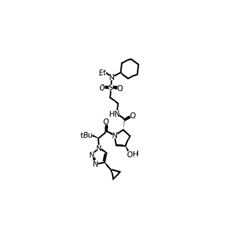 CCN(C1CCCCC1)S(=O)(=O)CCNC(=O)[C@@H]1C[C@@H](O)CN1C(=O)[C@@H](n1cc(C2CC2)nn1)C(C)(C)C